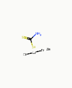 C[CH2][La][CH2]C.NC(=S)S.[Zn]